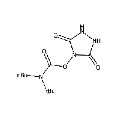 CCCCN(C(=O)On1c(=O)[nH][nH]c1=O)C(C)(C)C